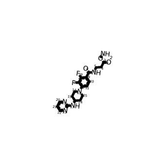 NOC(=O)CCNC(=O)c1ccc(N2CCC(Nc3ncccn3)CC2)c(F)c1F